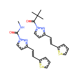 CC(C)(C)C(=O)n1ccc(C=Cc2cccs2)n1.CNC(=O)n1ccc(C=Cc2cccs2)n1